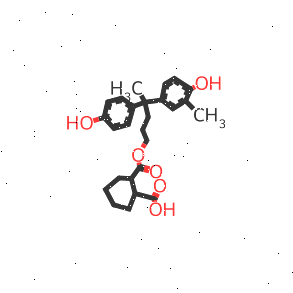 Cc1cc(C(C)(CCCOC(=O)C2CCCCC2C(=O)O)c2ccc(O)cc2)ccc1O